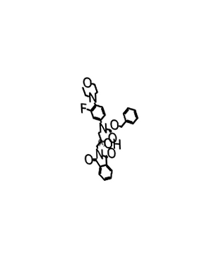 O=C1c2ccccc2C(=O)N1C[C@@H](O)CN(C(=O)OCc1ccccc1)c1ccc(N2CCOCC2)c(F)c1